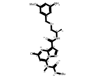 COc1cc(N)cc(COC[C@@H](C)NC(=O)c2cnn3c(N(C)C(=O)OC(C)(C)C)cc(Cl)nc23)c1